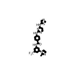 Cc1nccn1-c1cc(NC(=O)c2ccc(Nc3nccc(Nc4cncs4)n3)cc2)cc(C(F)(F)F)c1